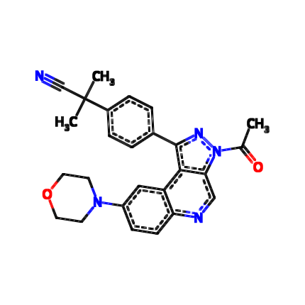 CC(=O)n1nc(-c2ccc(C(C)(C)C#N)cc2)c2c3cc(N4CCOCC4)ccc3ncc21